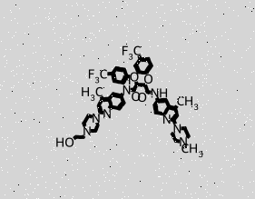 Cc1cc(N2CCN(C)CC2)nc2ccc(NC(=O)C(Oc3ccc(C(F)(F)F)cc3)C(Oc3ccc(C(F)(F)F)cc3)C(=O)Nc3ccc4nc(N5CCN(CCO)CC5)cc(C)c4c3)cc12